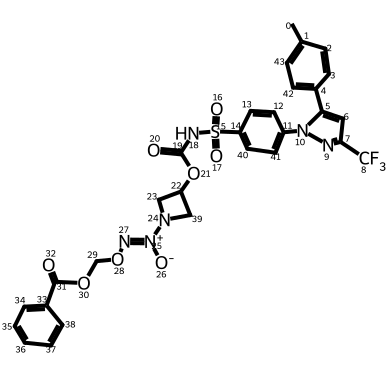 Cc1ccc(-c2cc(C(F)(F)F)nn2-c2ccc(S(=O)(=O)NC(=O)OC3CN([N+]([O-])=NOCOC(=O)c4ccccc4)C3)cc2)cc1